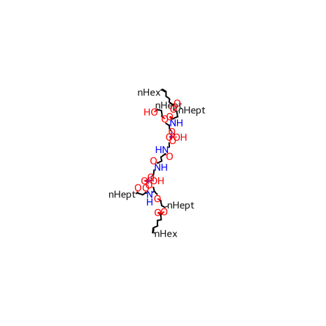 CCCCCC/C=C\CCCC(=O)O[C@H](CCCCCCC)CCOCC(COP(=O)(O)OCCNC(=O)CCC(=O)NCCOP(=O)(O)OCC(COCC[C@H](O)CCCCCCC)NC(=O)C[C@@H](CCCCCCC)OC(=O)CCC/C=C\CCCCCC)NC(=O)CC(=O)CCCCCCC